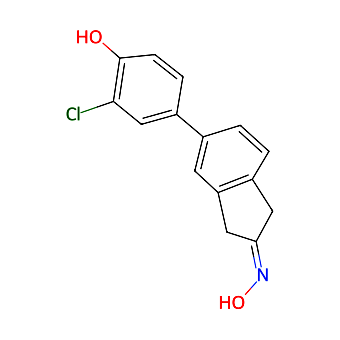 O/N=C1/Cc2ccc(-c3ccc(O)c(Cl)c3)cc2C1